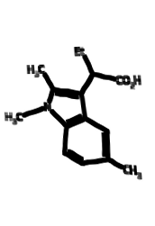 CCC(C(=O)O)c1c(C)n(C)c2ccc(C)cc12